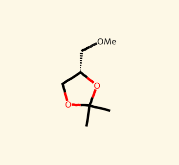 COC[C@H]1COC(C)(C)O1